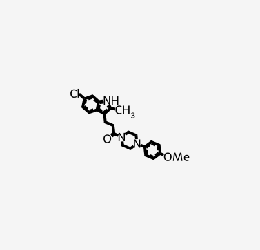 COc1ccc(N2CCN(C(=O)CCc3c(C)[nH]c4cc(Cl)ccc34)CC2)cc1